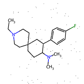 CCN1CCC2(CCC(N(C)C)C(c3ccc(F)cc3)C2)CC1